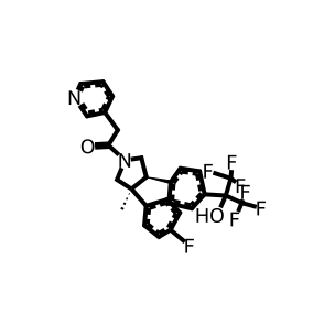 C[C@]1(c2ccc(F)cc2)CN(C(=O)Cc2cccnc2)C[C@H]1c1ccc(C(O)(C(F)(F)F)C(F)(F)F)cc1